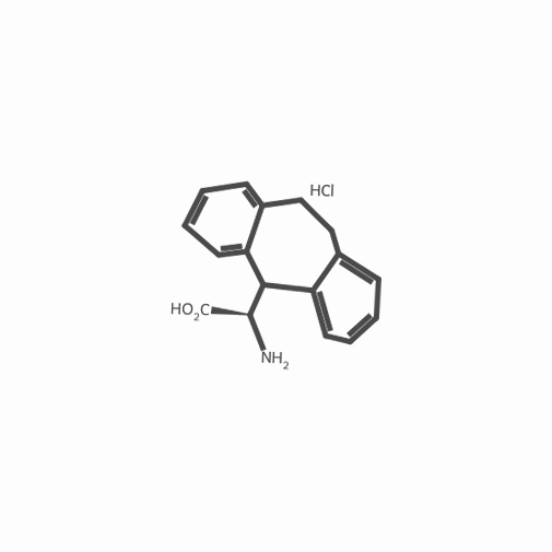 Cl.N[C@@H](C(=O)O)C1c2ccccc2CCc2ccccc21